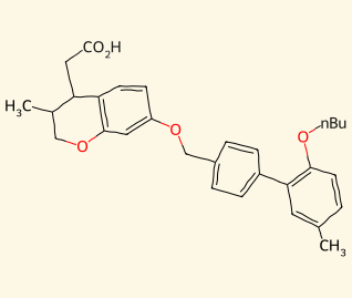 CCCCOc1ccc(C)cc1-c1ccc(COc2ccc3c(c2)OCC(C)C3CC(=O)O)cc1